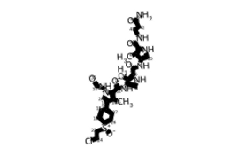 Cc1c(NC(=O)c2[nH]cc(NC(=O)c3c(C)c(-c4ccc([S+]([O-])CCCl)cc4)cn3NC=O)c2C)c[nH]c1C(=O)NCCC(N)=O